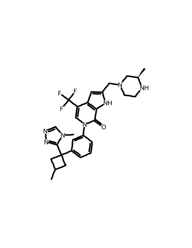 CC1CC(c2cccc(-n3cc(C(F)(F)F)c4cc(CN5CCN[C@H](C)C5)[nH]c4c3=O)c2)(c2nncn2C)C1